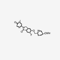 COc1ccc(COc2cc3c(cc2F)C(=O)N(c2cn(C)c(=O)cn2)C3)nc1